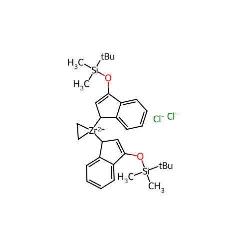 CC(C)(C)[Si](C)(C)OC1=C[CH]([Zr+2]2([CH]3C=C(O[Si](C)(C)C(C)(C)C)c4ccccc43)[CH2][CH2]2)c2ccccc21.[Cl-].[Cl-]